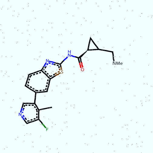 CNCC1C[C@@H]1C(=O)Nc1nc2ccc(-c3cncc(F)c3C)cc2s1